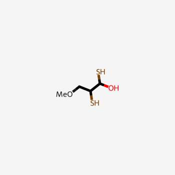 COCC(S)C(O)S